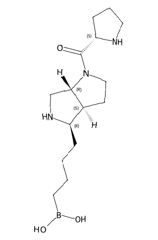 O=C([C@@H]1CCCN1)N1CC[C@H]2[C@@H](CCCCB(O)O)NC[C@@H]21